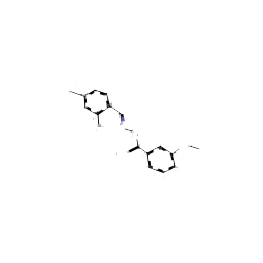 COc1cccc(C(=O)N/N=C/c2ccc(Cl)cc2Cl)c1